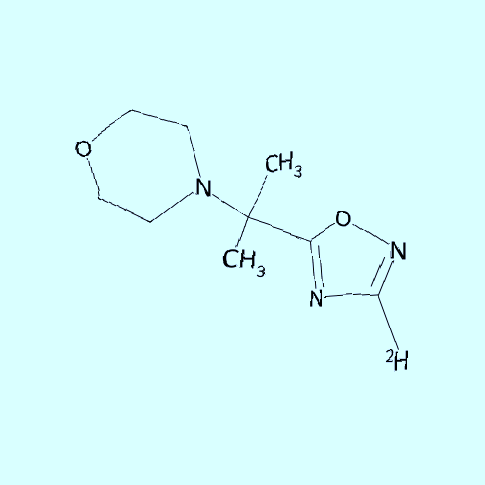 [2H]c1noc(C(C)(C)N2CCOCC2)n1